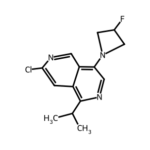 CC(C)c1ncc(N2CC(F)C2)c2cnc(Cl)cc12